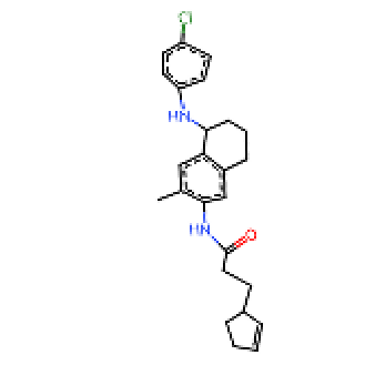 Cc1cc2c(cc1NC(=O)CCC1C=CCC1)CCCC2Nc1ccc(Cl)cc1